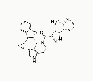 Cc1ncccc1-c1nnc(C(=O)N2CCc3[nH]cnc3[C@@H]2c2oc3ccccc3c2C2CC2)o1